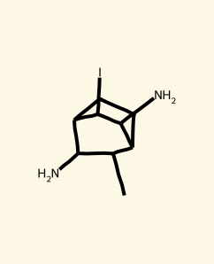 CC1C(N)C2CCC1C(N)C2I